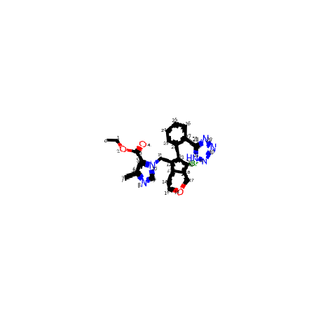 CCOC(=O)c1c(C)ncn1Cc1c2ccocc-2c(Br)c1-c1ccccc1-c1nnn[nH]1